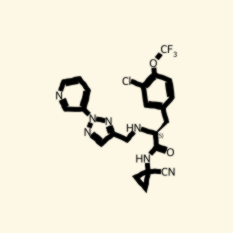 N#CC1(NC(=O)[C@H](Cc2ccc(OC(F)(F)F)c(Cl)c2)NCc2cnn(-c3cccnc3)n2)CC1